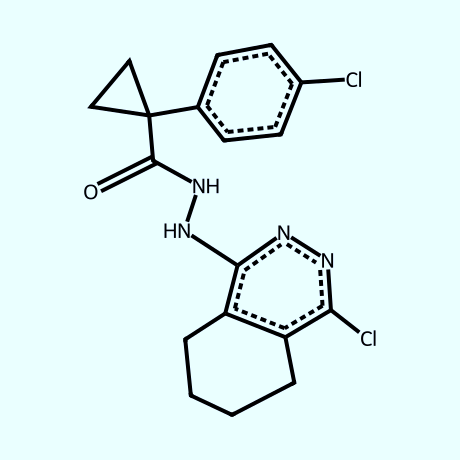 O=C(NNc1nnc(Cl)c2c1CCCC2)C1(c2ccc(Cl)cc2)CC1